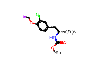 CC(C)(C)OC(=O)N[C@@H](Cc1ccc(OCI)c(Cl)c1)C(=O)O